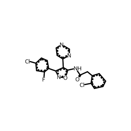 O=C(Cc1ccccc1Cl)Nc1onc(-c2ccc(Cl)cc2F)c1-c1ccncn1